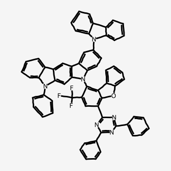 FC(F)(F)c1cc(-c2nc(-c3ccccc3)nc(-c3ccccc3)n2)c2oc3ccccc3c2c1-n1c2ccc(-n3c4ccccc4c4ccccc43)cc2c2cc3c4ccccc4n(-c4ccccc4)c3cc21